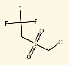 [O]CS(=O)(=O)CC(F)(F)F